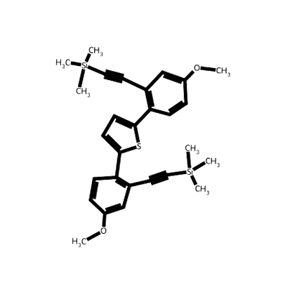 COc1ccc(-c2ccc(-c3ccc(OC)cc3C#C[Si](C)(C)C)s2)c(C#C[Si](C)(C)C)c1